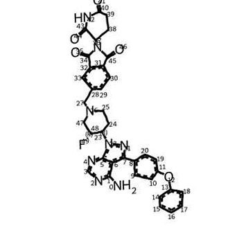 Nc1ncnc2c1c(-c1ccc(Oc3ccccc3)cc1)nn2[C@@H]1CCN(Cc2ccc3c(c2)C(=O)N(C2CCC(=O)NC2=O)C3=O)C[C@H]1F